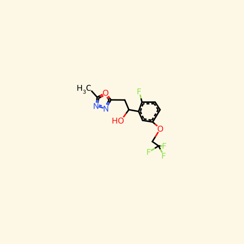 Cc1nnc(CC(O)c2cc(OCC(F)(F)F)ccc2F)o1